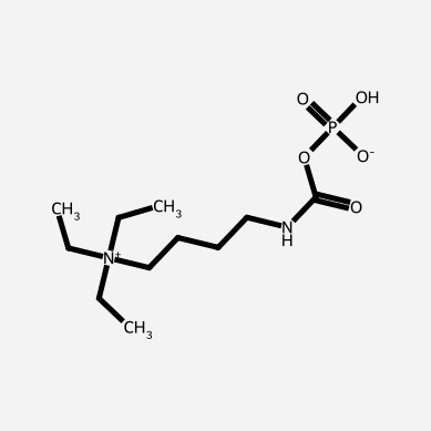 CC[N+](CC)(CC)CCCCNC(=O)OP(=O)([O-])O